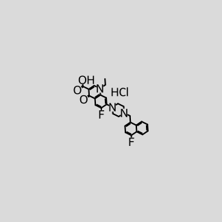 CCn1cc(C(=O)O)c(=O)c2cc(F)c(N3CCN(Cc4ccc(F)c5ccccc45)CC3)cc21.Cl